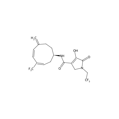 C=C1/C=C\C(C(F)(F)F)=C/C[C@H](NC(=O)C2=C(O)C(=O)N(CC(F)(F)F)C2)CC1